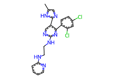 Cc1cnc(-c2cnc(NCCNc3ccccn3)nc2-c2ccc(Cl)cc2Cl)[nH]1